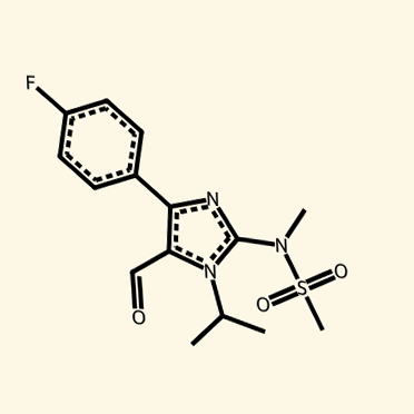 CC(C)n1c(N(C)S(C)(=O)=O)nc(-c2ccc(F)cc2)c1C=O